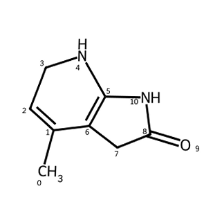 CC1=CCNC2=C1CC(=O)N2